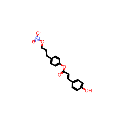 O=C(/C=C/c1ccc(O)cc1)Oc1ccc(CCCO[N+](=O)[O-])cc1